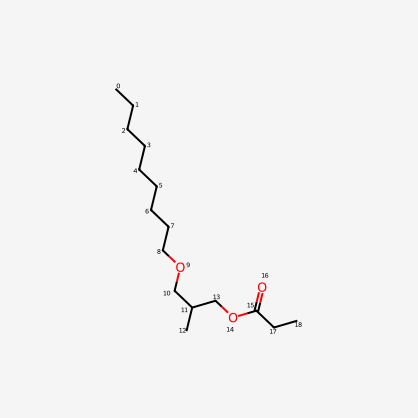 CCCCCCCCCOCC(C)COC(=O)CC